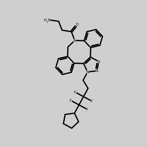 NCCC(=O)N1Cc2ccccc2-c2c(nnn2CCC(F)(F)C(F)(F)C2CCCC2)-c2ccccc21